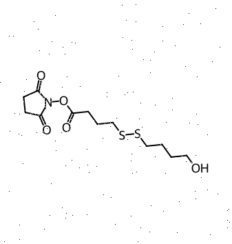 O=C(CCCSSCCCCO)ON1C(=O)CCC1=O